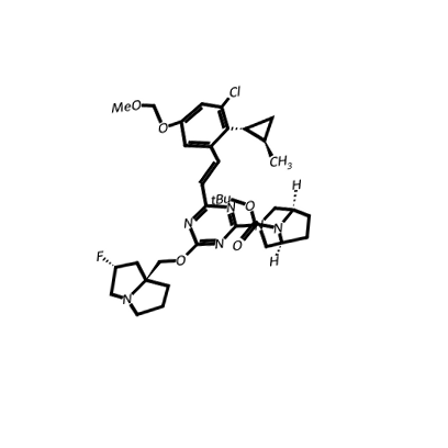 COCOc1cc(Cl)c([C@@H]2C[C@H]2C)c(/C=C/c2nc(OC[C@@]34CCCN3C[C@H](F)C4)nc(N3C[C@H]4CC[C@@H](C3)N4C(=O)OC(C)(C)C)n2)c1